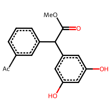 COC(=O)C(c1cc(O)cc(O)c1)c1cccc(C(C)=O)c1